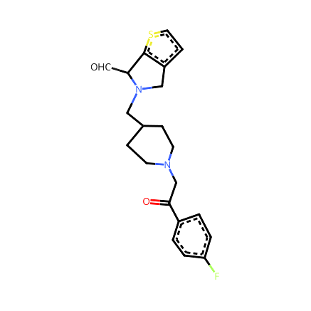 O=CC1c2sccc2CN1CC1CCN(CC(=O)c2ccc(F)cc2)CC1